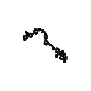 Cn1c2ccncc2c2ccc(-c3ccc(OC4CC(CN5CCN(c6cccc(C#CCOc7ccc8c(c7)C(=O)N(C7CCC(=O)NC7=O)C8=O)c6)CC5)C4)nc3)cc21